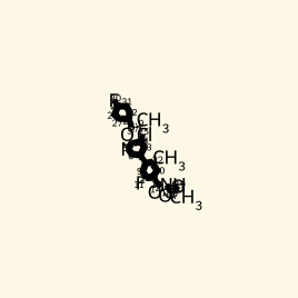 CC[C@H](Oc1ncc(-c2cc(F)c(C(=O)NS(C)(=O)=O)cc2C)cc1Cl)c1ccc(F)cc1